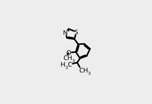 COc1c(-c2cncs2)cccc1C(C)C